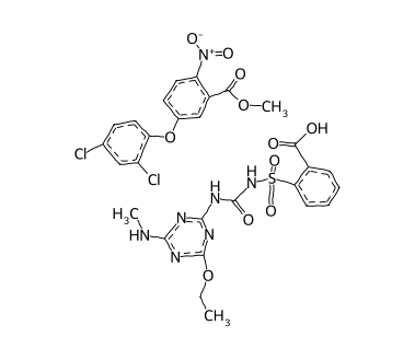 CCOc1nc(NC)nc(NC(=O)NS(=O)(=O)c2ccccc2C(=O)O)n1.COC(=O)c1cc(Oc2ccc(Cl)cc2Cl)ccc1[N+](=O)[O-]